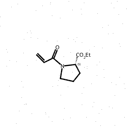 C=CC(=O)N1CCC[C@H]1C(=O)OCC